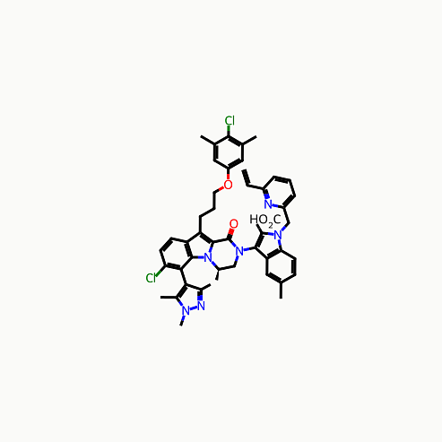 C=Cc1cccc(Cn2c(C(=O)O)c(N3C[C@@H](C)n4c(c(CCCOc5cc(C)c(Cl)c(C)c5)c5ccc(Cl)c(-c6c(C)nn(C)c6C)c54)C3=O)c3cc(C)ccc32)n1